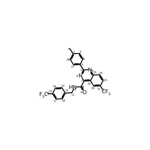 Cc1ccc(-c2nc(C(=O)NCc3ccc(C(F)(F)F)cc3)c3cc(C(F)(F)F)ccc3n2)cc1